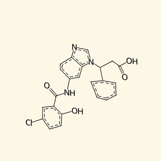 O=C(O)CC(c1ccccc1)n1cnc2ccc(NC(=O)c3cc(Cl)ccc3O)cc21